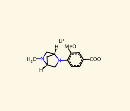 COc1cc(C(=O)[O-])ccc1N1C[C@H]2C[C@@H]1CN2C.[Li+]